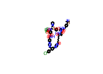 Cc1ncsc1-c1ccc([C@H](C)NC(=O)[C@@H]2C[C@@H](O)CN2C(=O)[C@@H](NC(=O)CCCCCCC(=O)N2CCN(C[C@]3(C)CCC(c4ccc(Cl)cc4)=C(CN4CCN(c5ccc(C(=O)NS(=O)(=O)c6ccc(N[C@H](CCN7CCCCC7)CSc7ccccc7)c(S(=O)(=O)C(F)(F)F)c6)cc5)CC4)C3)CC2)C(C)(C)C)cc1